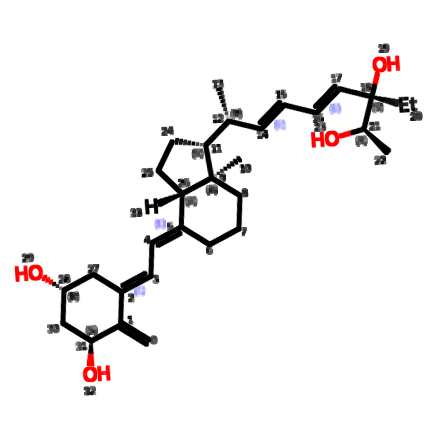 C=C1/C(=C/C=C2\CCC[C@]3(C)[C@@H]([C@H](C)/C=C/C=C/[C@@](O)(CC)[C@@H](C)O)CC[C@@H]23)C[C@@H](O)C[C@@H]1O